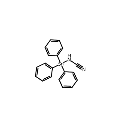 N#C[NH][Sn]([c]1ccccc1)([c]1ccccc1)[c]1ccccc1